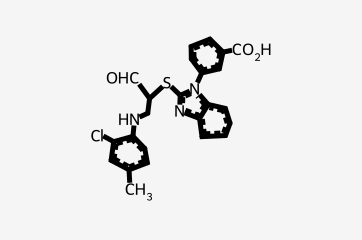 Cc1ccc(NCC(C=O)Sc2nc3ccccc3n2-c2cccc(C(=O)O)c2)c(Cl)c1